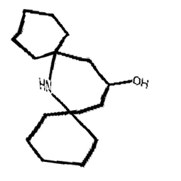 OC1CC2(CCCCC2)NC2(CCCCC2)C1